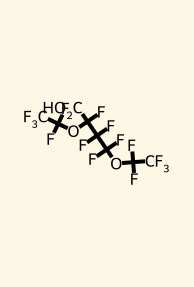 O=C(O)C(F)(OC(F)(F)C(F)(F)F)C(F)(F)C(F)(F)OC(F)(F)C(F)(F)F